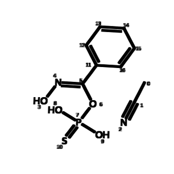 CC#N.ON=C(OP(O)(O)=S)c1ccccc1